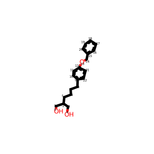 OCC(CO)CCCCc1ccc(OCc2ccccc2)cc1